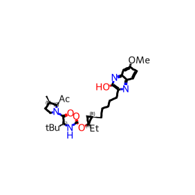 CC[C@@]1(OC(=O)N[C@H](C(=O)N2CC[C@@H](C)[C@H]2C(C)=O)C(C)(C)C)C[C@H]1CCCCCc1nc2ccc(OC)cc2nc1O